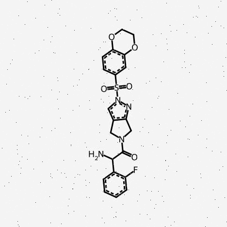 NC(C(=O)N1Cc2cn(S(=O)(=O)c3ccc4c(c3)OCCO4)nc2C1)c1ccccc1F